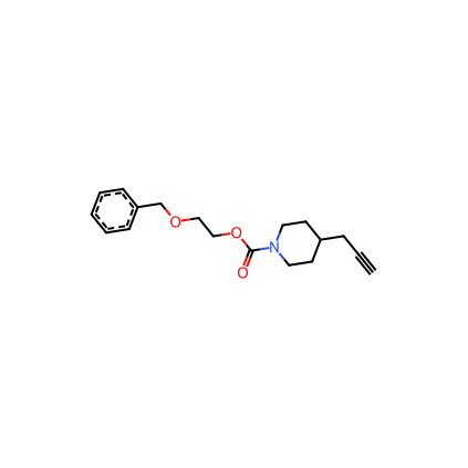 C#CCC1CCN(C(=O)OCCOCc2ccccc2)CC1